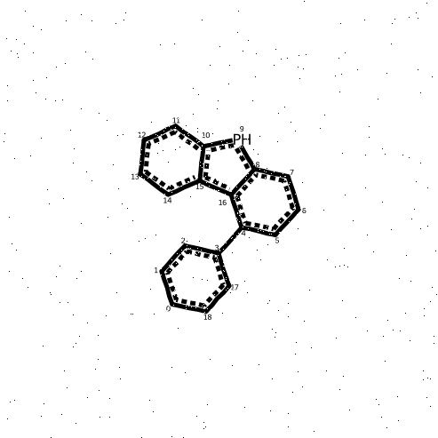 c1ccc(-c2cccc3[pH]c4ccccc4c23)cc1